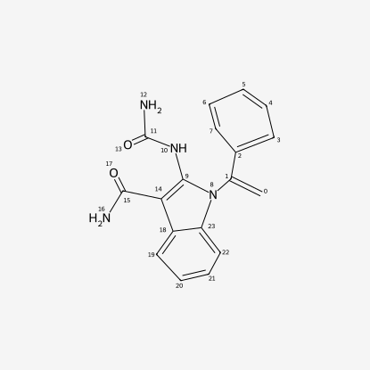 C=C(c1ccccc1)n1c(NC(N)=O)c(C(N)=O)c2ccccc21